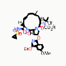 CCOc1cnc(O[C@@H]2C[C@H]3C(=O)N[C@]4(C(=O)NS(=O)(=O)C5CC5)C[C@H]4C=CCC[C@@H](C)C[C@@H](CC)[C@H](N(C(=O)O)C(C)(C)C(F)(F)F)C(=O)N3C2)c2ccc(OC)cc12